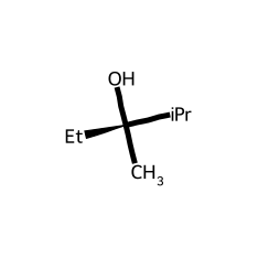 CC[C@@](C)(O)C(C)C